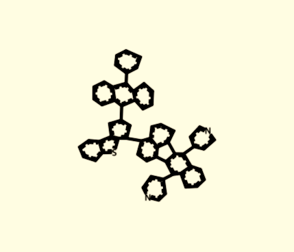 c1ccc(-c2c3ccccc3c(-c3cc(-c4ccc5c6c(cccc46)-c4c-5c(-c5ccncc5)c5ccccc5c4-c4ccncc4)c4sc5ccccc5c4c3)c3ccccc23)cc1